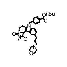 CCCCOC(=O)c1ccc(Cn2c3c(c4cc(CCCN5CCOCC5)ccc42)C2C(=O)N(C)C(=O)N2CC3)cc1